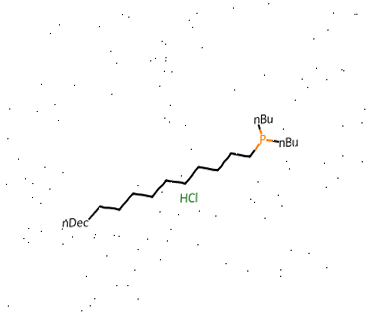 CCCCCCCCCCCCCCCCCCCCP(CCCC)CCCC.Cl